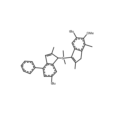 COc1c(C(C)(C)C)cc2c(c1C)CC(C)=C2[Si](C)(C)C1C(C)=Cc2c(-c3ccccc3)cc(C(C)(C)C)cc21